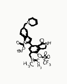 CN(C)Cc1cc(-c2cc3cc(CN4CCCCC4)ccc3n2C(=O)OC(C)(C)C)c2c(c1OS(=O)(=O)C(F)(F)F)CNC2=O